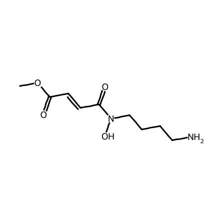 COC(=O)/C=C/C(=O)N(O)CCCCN